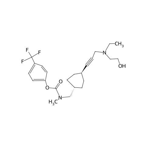 CCN(CC#C[C@H]1CC[C@H](CN(C)C(=O)Oc2ccc(C(F)(F)F)cc2)CC1)CCO